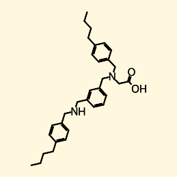 CCCCc1ccc(CNCc2cccc(CN(CC(=O)O)Cc3ccc(CCCC)cc3)c2)cc1